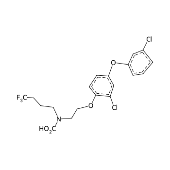 O=C(O)N(CCCC(F)(F)F)CCOc1ccc(Oc2cccc(Cl)c2)cc1Cl